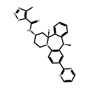 Cc1nnsc1C(=O)N[C@@H]1CCN2c3ccc(-c4ncccn4)cc3[C@H](C)c3ccccc3[C@H]2C1